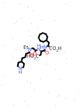 CCN(CC(=O)NC(CC(=O)O)C(=O)NC(CC1CCCCCCC1)C(=O)O)C(=O)CCCC1CCNCC1